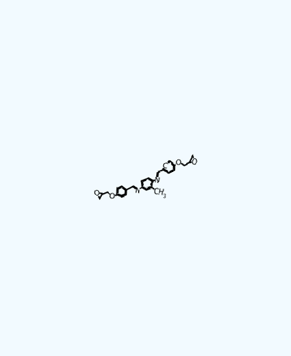 Cc1cc(N=Cc2ccc(OCC3CO3)cc2)ccc1N=Cc1ccc(OCC2CO2)cc1